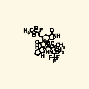 CC(C)(C)[C@H](NC(=O)C(F)(F)F)C(=O)N1C[C@@H]2CCC[C@@H]2[C@H]1C(=O)N[C@H](/C=C(\F)S(C)(=O)=O)C[C@@H]1CCNC1=O